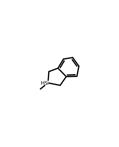 C[SiH]1Cc2ccccc2C1